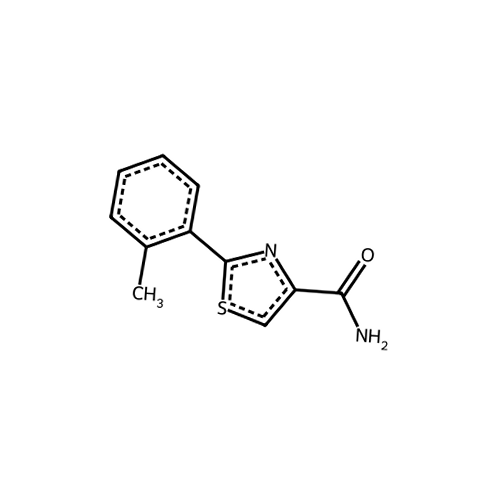 Cc1ccccc1-c1nc(C(N)=O)cs1